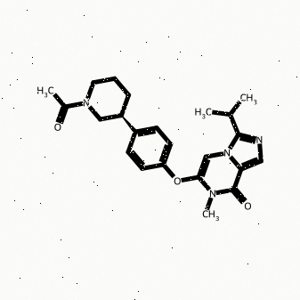 CC(=O)N1CCC[C@@H](c2ccc(Oc3cn4c(C(C)C)ncc4c(=O)n3C)cc2)C1